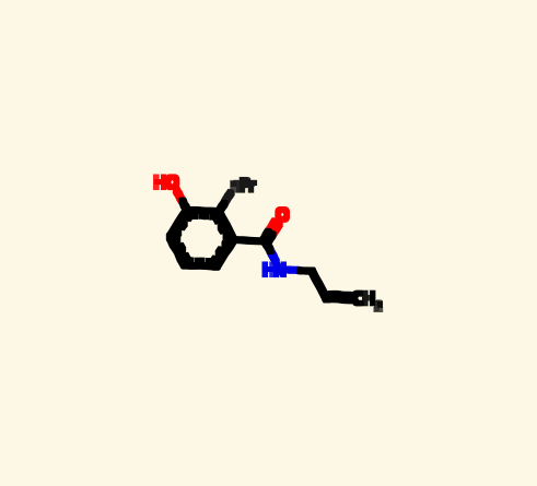 C=CCNC(=O)c1cccc(O)c1CCC